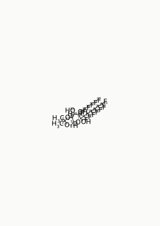 CC1(C)OC[C@H]2O[C@@](O)(C(F)(F)C(F)(F)C(F)(F)C(F)(F)C(F)(F)C(F)(F)F)[C@H](O)[C@@H](O)[C@@H]2O1